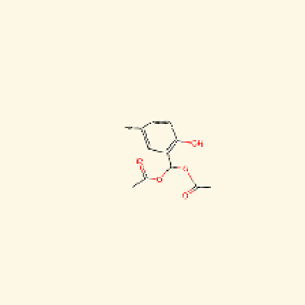 CC(=O)OC(OC(C)=O)c1cc(C)ccc1O